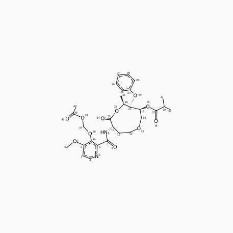 COc1ccnc(C(=O)N[C@H]2CCOC[C@H](OC(=O)C(C)C)[C@@H](Oc3ccccc3)[C@H](C)OC2=O)c1OCOC(C)=O